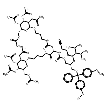 COc1ccc(C(OC[C@H](COC(=O)N[C@@H](CC(=O)NCCCO[C@@H]2O[C@H](COC(C)=O)[C@H](OC(C)=O)[C@H](OC(C)=O)[C@H]2CC(N)=O)C(=O)NCCCO[C@@H]2O[C@H](COC(C)=O)[C@H](OC(C)=O)[C@H](OC(C)=O)[C@H]2CC(N)=O)OP(OCCC#N)N(C(C)C)C(C)C)(c2ccccc2)c2ccc(OC)cc2)cc1